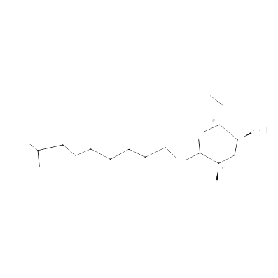 CC(C)CCCCCCCOC1O[C@H](CO)[C@@H](O)[C@H](O)[C@H]1O